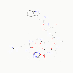 CC[C@H](C)[C@H](NC(=O)[C@H](Cc1c[nH]cn1)NC(=O)[C@H](CCC(=O)O)NC(=O)[C@@H](NC(=O)[C@@H](NC(=O)[C@@H](NC(=O)[C@@H](N)Cc1c[nH]c2ccccc12)[C@@H](C)O)[C@@H](C)CC)C(C)C)C(=O)N[C@@H](CCC(=O)O)C(=O)N[C@@H](CCCNC(=N)N)C(=O)N[C@@H](CC(C)C)C(=O)N[C@@H](CC(N)=O)C(=O)O